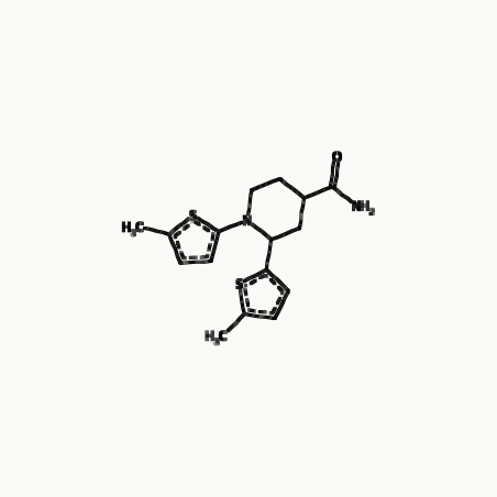 Cc1ccc(C2CC(C(N)=O)CCN2c2ccc(C)s2)s1